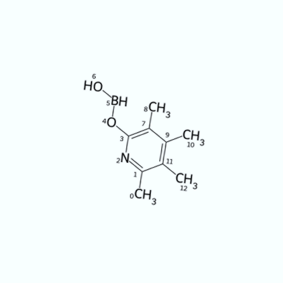 Cc1nc(OBO)c(C)c(C)c1C